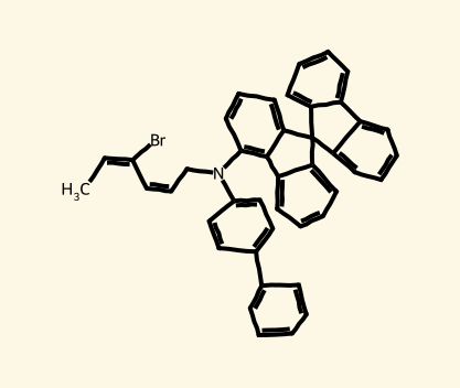 C/C=C(Br)\C=C/CN(c1ccc(-c2ccccc2)cc1)c1cccc2c1-c1ccccc1C21c2ccccc2-c2ccccc21